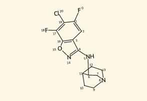 Fc1cc2c(NC3CN4CCC3CC4)noc2c(F)c1Cl